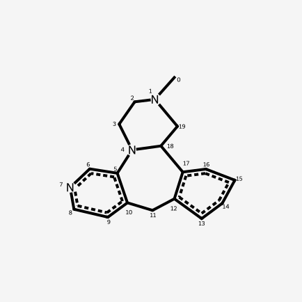 CN1CCN2c3cnccc3Cc3ccccc3C2C1